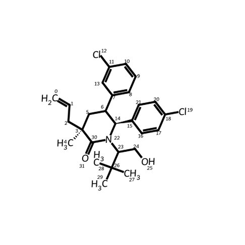 C=CC[C@@]1(C)CC(c2cccc(Cl)c2)[C@@H](c2ccc(Cl)cc2)N(C(CO)C(C)(C)C)C1=O